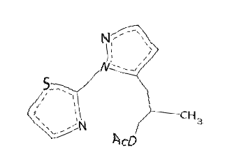 CC(=O)OC(C)c1ccnn1-c1nccs1